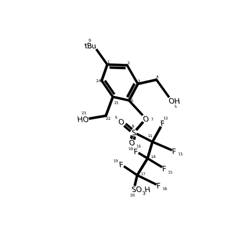 CC(C)(C)c1cc(CO)c(OS(=O)(=O)C(F)(F)C(F)(F)C(F)(F)S(=O)(=O)O)c(CO)c1